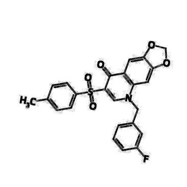 Cc1ccc(S(=O)(=O)c2cn(Cc3cccc(F)c3)c3cc4c(cc3c2=O)OCO4)cc1